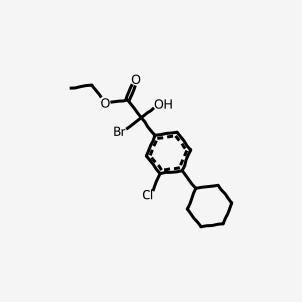 CCOC(=O)C(O)(Br)c1ccc(C2CCCCC2)c(Cl)c1